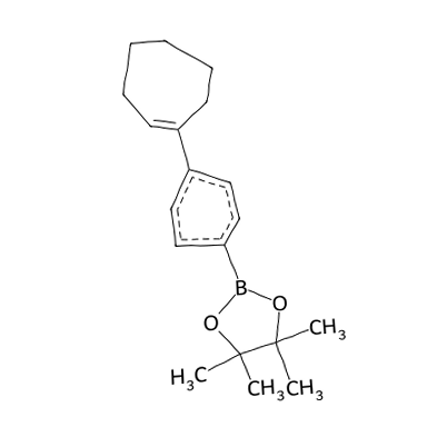 CC1(C)OB(c2ccc(C3=CCCCCC3)cc2)OC1(C)C